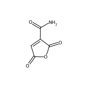 NC(=O)C1=CC(=O)OC1=O